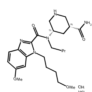 COCCCCn1c(C(=O)N(CC(C)C)[C@@H]2CNC[C@H](C(N)=O)C2)nc2ccc(OC)cc21.Cl.Cl